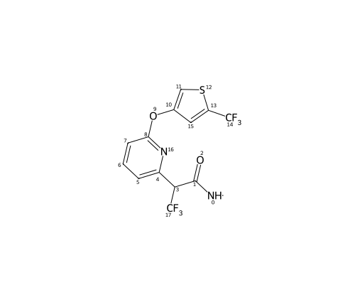 [NH]C(=O)C(c1cccc(Oc2csc(C(F)(F)F)c2)n1)C(F)(F)F